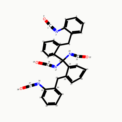 O=C=Nc1ccccc1Cc1ccccc1C(N=C=O)(N=C=O)c1ccccc1Cc1ccccc1N=C=O